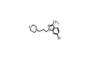 Cc1nn(CCCN2CCOCC2)c2cc(Br)ccc12